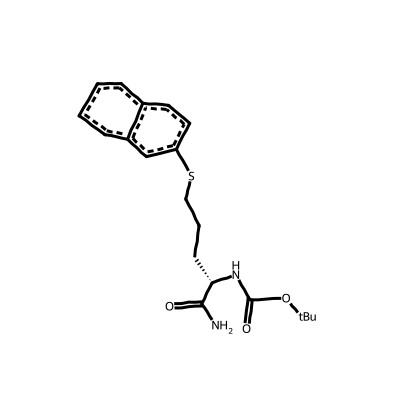 CC(C)(C)OC(=O)N[C@@H](CCCSc1ccc2ccccc2c1)C(N)=O